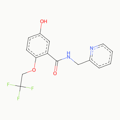 O=C(NCc1ccccn1)c1cc(O)ccc1OCC(F)(F)F